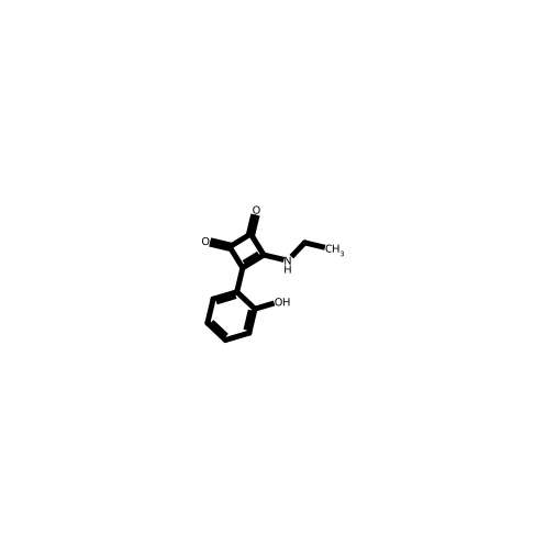 CCNc1c(-c2ccccc2O)c(=O)c1=O